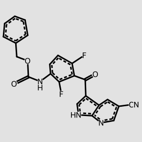 N#Cc1cnc2[nH]cc(C(=O)c3c(F)ccc(NC(=O)OCc4ccccc4)c3F)c2c1